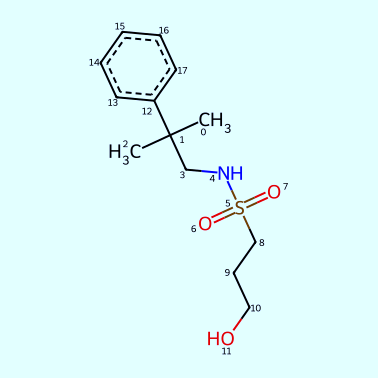 CC(C)(CNS(=O)(=O)CCCO)c1ccccc1